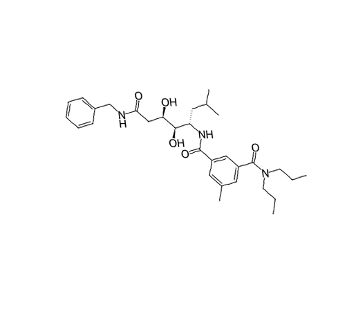 CCCN(CCC)C(=O)c1cc(C)cc(C(=O)N[C@@H](CC(C)C)[C@@H](O)[C@H](O)CC(=O)NCc2ccccc2)c1